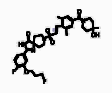 Cc1cc(C(=O)N2CCC(C)(O)CC2)cc(C)c1/C=C/S(=O)(=O)N1CCC2(CC1)N=C(c1ccc(F)c(OCCCF)c1)NC2=O